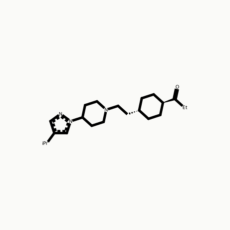 CCC(=O)[C@H]1CC[C@H](CCN2CCC(n3cc(C(C)C)cn3)CC2)CC1